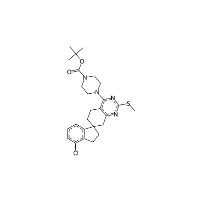 CSc1nc2c(c(N3CCN(C(=O)OC(C)(C)C)CC3)n1)CCC1(CCc3c(Cl)cccc31)C2